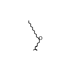 C=C(C)C=CCCC1OC1CCCCCCCCCC